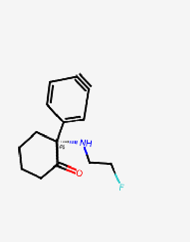 O=C1CCCC[C@@]1(NCCF)c1cc#ccc1